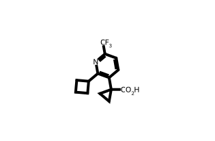 O=C(O)C1(c2ccc(C(F)(F)F)nc2C2CCC2)CC1